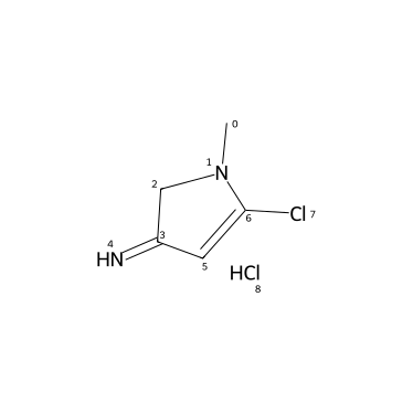 CN1CC(=N)C=C1Cl.Cl